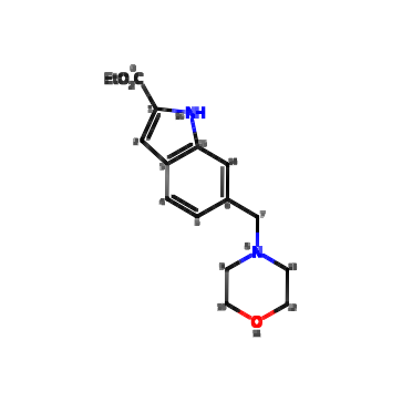 CCOC(=O)c1cc2ccc(CN3CCOCC3)cc2[nH]1